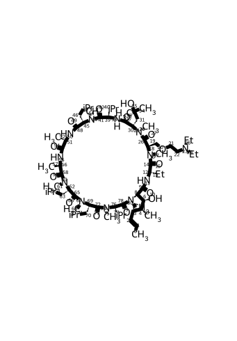 C/C=C/C[C@@H](C)[C@@H](O)[C@H]1C(=O)N[C@@H](CC)C(=O)N(C)[C@H](COCCN(CC)CC)C(=O)N(C)[C@@H](CC(C)(C)O)C(=O)N[C@@H](C(C)C)C(=O)N(C)[C@@H](CC(C)C)C(=O)N[C@@H](C)C(=O)N[C@H](C)C(=O)N(C)[C@@H](CC(C)C)C(=O)N(C)[C@@H](CC(C)C)C(=O)N(C)[C@@H](C(C)C)C(=O)N1C